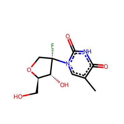 Cc1cn([C@]2(F)CO[C@H](CO)[C@H]2O)c(=O)[nH]c1=O